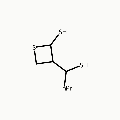 CCCC(S)C1CSC1S